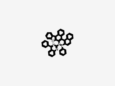 c1ccc(-c2nc(N3c4c(c5ccccc5c5c4oc4ccccc45)-c4c(ccc5ccccc45)P3c3ccccc3)nc3ccccc23)cc1